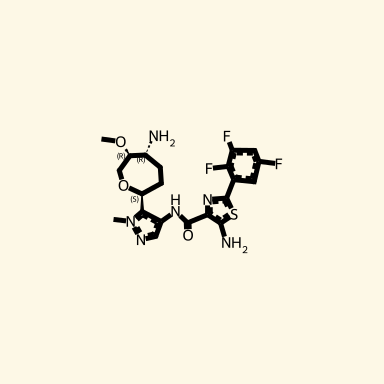 CO[C@H]1CO[C@H](c2c(NC(=O)c3nc(-c4cc(F)cc(F)c4F)sc3N)cnn2C)CC[C@H]1N